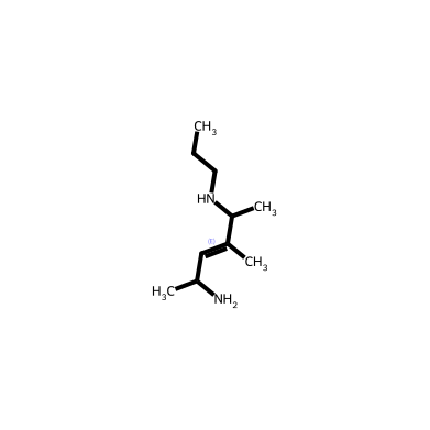 CCCNC(C)/C(C)=C/C(C)N